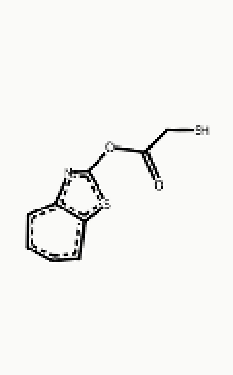 O=C(CS)Oc1nc2ccccc2s1